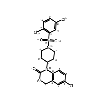 O=C1OCc2cc(Cl)ccc2N1C1CCN(S(=O)(=O)c2cc(Cl)ccc2Cl)CC1